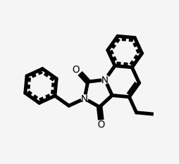 CCC1=Cc2ccccc2N2C(=O)N(Cc3ccccc3)C(=O)C12